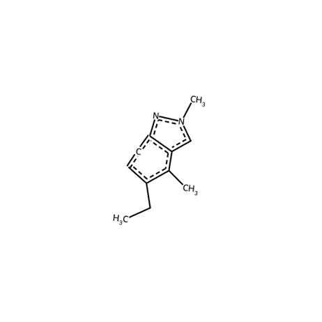 CCc1ccc2nn(C)cc2c1C